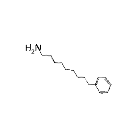 NCCCCCCCCCc1ccccc1